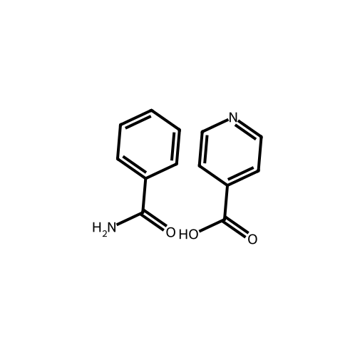 NC(=O)c1ccccc1.O=C(O)c1ccncc1